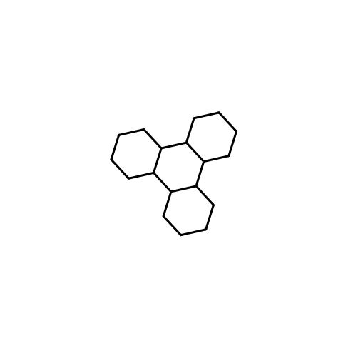 C1CCC2C(C1)C1CCCCC1C1CCCCC21